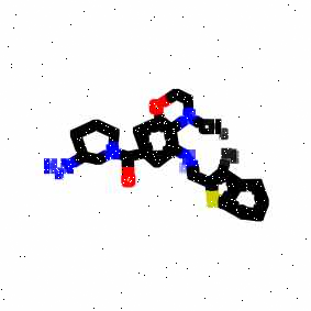 CCc1c(/C=N/c2cc(C(=O)N3CCCC(N)C3)cc3c2N(C)CCO3)sc2ccccc12